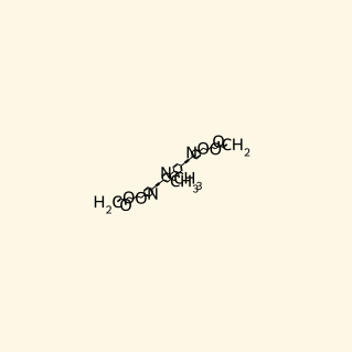 C=CC(=O)OCCOc1ccc(C#Cc2ccc(-c3ncc(C#Cc4ccc(OCCOC(=O)C=C)cn4)cc3C)c(C)c2)nc1